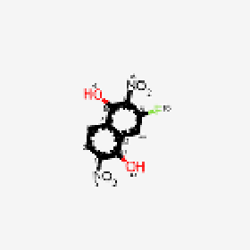 O=[N+]([O-])c1ccc2c(O)c([N+](=O)[O-])c(F)cc2c1O